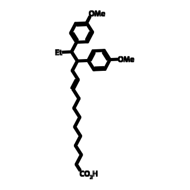 CCC(c1ccc(OC)cc1)C(CC=CCCCCCCCCC(=O)O)c1ccc(OC)cc1